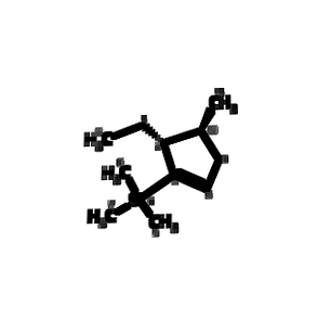 CC[C@H]1C([Si](C)(C)C)=CC[C@@H]1C